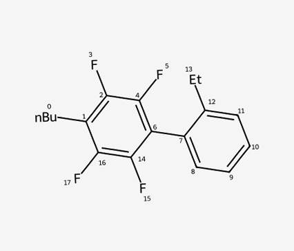 CCCCc1c(F)c(F)c(-c2ccccc2CC)c(F)c1F